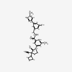 Cc1cc(N2CCC(C#N)(C3CCC3)C2=O)cc(C(=O)NCc2cc(F)cc(-c3cnn(C)c3)c2)n1